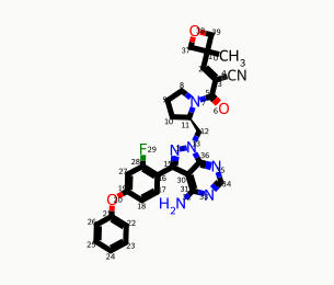 CC1(/C=C(\C#N)C(=O)N2CCC[C@@H]2Cn2nc(-c3ccc(Oc4ccccc4)cc3F)c3c(N)ncnc32)COC1